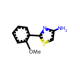 COc1ccccc1-c1nc(N)cs1